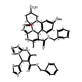 CC1=C(C(=O)OCc2ccccc2)C(c2cncs2)n2nnnc2N1.CCOC(=O)C1CCCN(c2cc(OC)ccc2C2C(C(=O)OCc3ccccc3)=C(C)Nc3nnnn32)C1